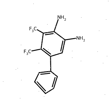 Nc1cc(-c2ccccc2)c(C(F)(F)F)c(C(F)(F)F)c1N